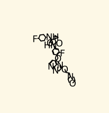 O=C(Nc1ccc(Oc2ccnc3ncc(OCCN4CCOCC4)nc23)c(F)c1)C1(C(=O)NC2CCC(F)CC2)CC1